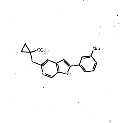 CC(C)(C)c1cccc(-c2cc3cc(SC4(C(=O)O)CC4)ncc3[nH]2)c1